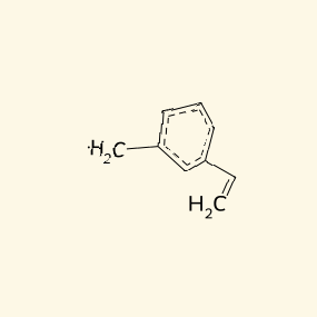 [CH2]c1cccc(C=C)c1